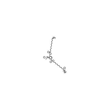 CC(C)CCCCCCCCCCC(=O)OCc1ccc(C(=O)OCCCCCCCCCC(=O)C(C)(C)Br)cc1[N+](=O)[O-]